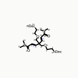 CCCCCCCCCCCCOCC(/C=C/C(=O)N(C)C)(/C=C/C(=O)N(C)C)COCCCCCCCCCCCC